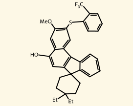 CCC1(CC)CCC2(CC1)c1ccccc1-c1c2cc(O)c2cc(OC)c(Sc3ccccc3C(F)(F)F)cc12